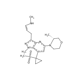 CN/C=C\Cc1nn(C)c2c(C3(S(C)(=O)=O)CC3)cc(N3CCOC[C@H]3C)nc12